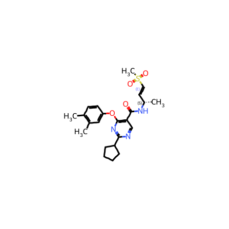 Cc1ccc(Oc2nc(C3CCCC3)ncc2C(=O)N[C@@H](C)/C=C/S(C)(=O)=O)cc1C